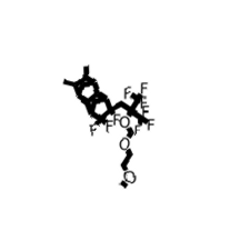 COCCOCOC(CC1(F)C2CC(C3C4CC(C(C)C4C)C32)C1(F)F)(C(F)(F)F)C(F)(F)F